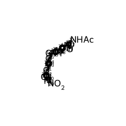 CC(=O)NC[C@H]1CN(c2ccc(N3CCN(C(=O)COc4ccc(CO[C@@H]5COc6nc([N+](=O)[O-])cn6C5)cc4)CC3)c(F)c2)C(=O)O1